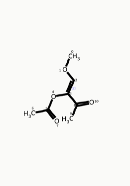 CO/C=C(\OC(C)=O)C(C)=O